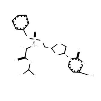 CCC(CC)OC(=O)[C@H](C)NP(=O)(OC[C@H]1OC[C@@H](n2ccc(N)nc2=O)O1)Oc1ccccc1